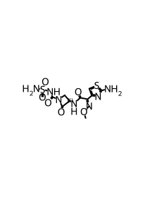 CON=C(C(=O)N[C@H]1CN(C(=O)NS(N)(=O)=O)C1=O)c1csc(N)n1